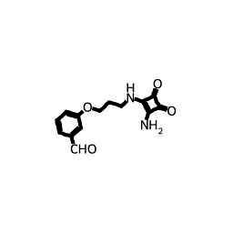 Nc1c(NCCCOc2cccc(C=O)c2)c(=O)c1=O